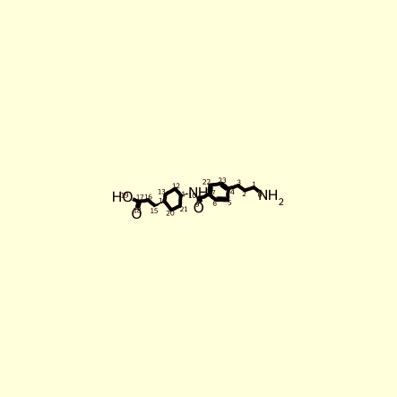 NCCCc1ccc(C(=O)N[C@H]2CC[C@H](CCC(=O)O)CC2)cc1